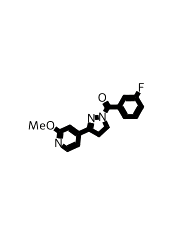 COc1cc(C2=NN(C(=O)c3cccc(F)c3)CC2)ccn1